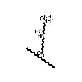 CCCCCCCCC(CCCCCCCC)OC(=O)CCCCCCCNCC(O)CCCCNC(N)=O